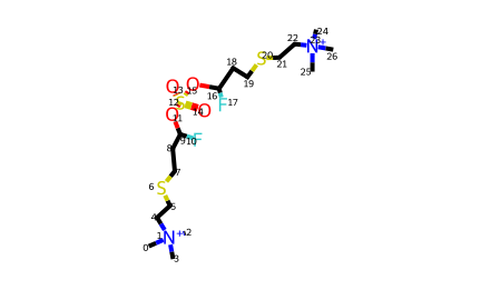 C[N+](C)(C)CCSCCC(F)OS(=O)(=O)OC(F)CCSCC[N+](C)(C)C